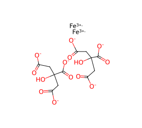 O=C([O-])CC(O)(CC(=O)[O-])C(=O)[O-].O=C([O-])CC(O)(CC(=O)[O-])C(=O)[O-].[Fe+3].[Fe+3]